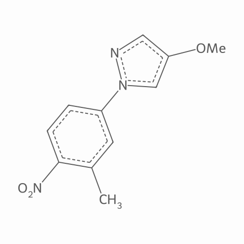 COc1cnn(-c2ccc([N+](=O)[O-])c(C)c2)c1